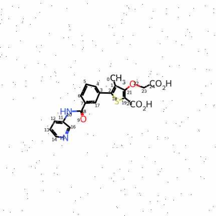 Cc1c(-c2cccc(C(=O)Nc3cccnc3)c2)sc(C(=O)O)c1OCC(=O)O